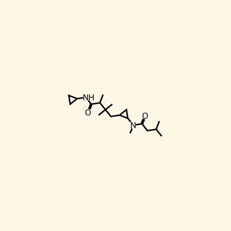 CC(C)CC(=O)N(C)C1CC1CC(C)(C)C(C)C(=O)NC1CC1